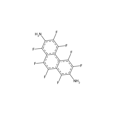 Nc1c(F)c(F)c2c(c1F)c(F)c(F)c1c(F)c(N)c(F)c(F)c12